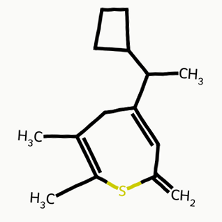 C=C1C=C(C(C)C2CCC2)CC(C)=C(C)S1